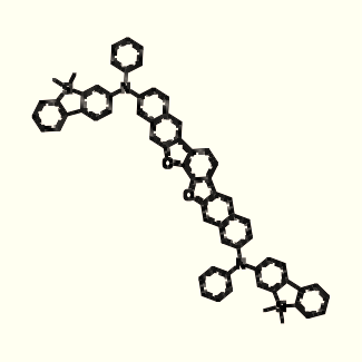 C[Si]1(C)c2ccccc2-c2ccc(N(c3ccccc3)c3ccc4cc5c(cc4c3)oc3c5ccc4c5cc6ccc(N(c7ccccc7)c7ccc8c(c7)[Si](C)(C)c7ccccc7-8)cc6cc5oc43)cc21